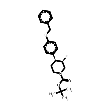 CC(C)(C)OC(=O)N1CC[C@@H](c2ccc(OCc3ccccc3)cc2)[C@@H](F)C1